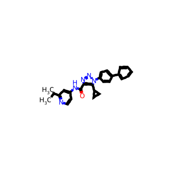 CC(C)c1cc(NC(=O)c2nnn(-c3ccc(-c4ccccc4)cc3)c2C2CC2)ccn1